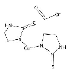 O=C[O-].S=C1NCC[N]1[Cu-][N]1CCNC1=S